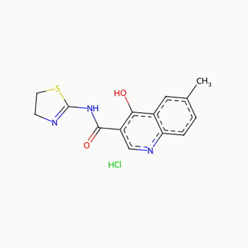 Cc1ccc2ncc(C(=O)NC3=NCCS3)c(O)c2c1.Cl